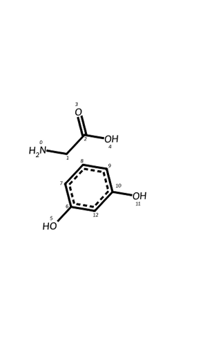 NCC(=O)O.Oc1cccc(O)c1